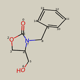 O=C1OCC(CO)N1Cc1ccccc1